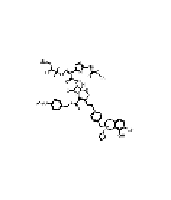 COc1ccc(COC(=O)C2=C(/C=C/c3ccc(C[N+]4(C5CCC5)CCc5ccc(O)c(O)c5C4)cc3)CS[C@@H]3[C@H](NC(=O)/C(=N\OC(C)(C)C(=O)OC(C)(C)C)c4csc(NC(=O)OC(C)(C)C)n4)C(=O)N23)cc1